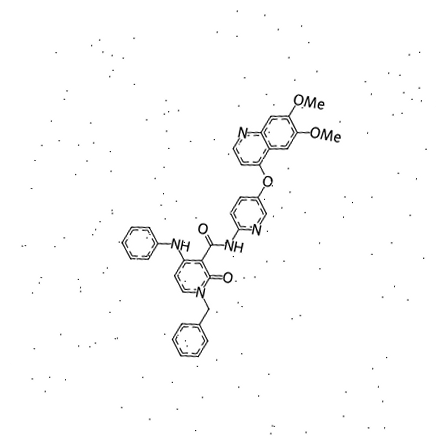 COc1cc2nccc(Oc3ccc(NC(=O)c4c(Nc5ccccc5)ccn(Cc5ccccc5)c4=O)nc3)c2cc1OC